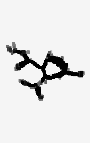 COC(=O)c1ncc(Cl)cc1[N+](=O)[O-]